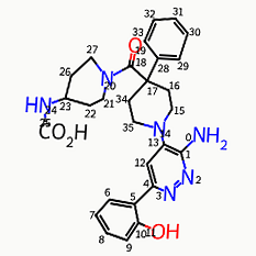 Nc1nnc(-c2ccccc2O)cc1N1CCC(C(=O)N2CCC(NC(=O)O)CC2)(c2ccccc2)CC1